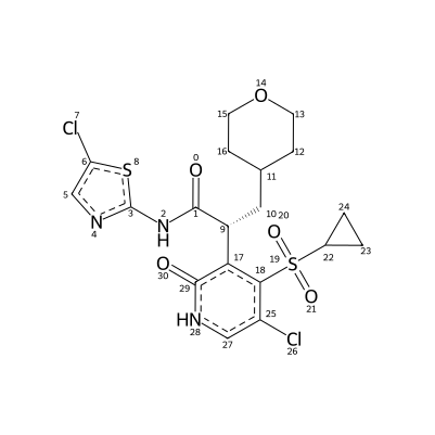 O=C(Nc1ncc(Cl)s1)[C@H](CC1CCOCC1)c1c(S(=O)(=O)C2CC2)c(Cl)c[nH]c1=O